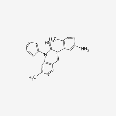 Cc1cc2c(cn1)cc(-c1cc(N)ccc1C)c(=N)n2-c1ccccc1